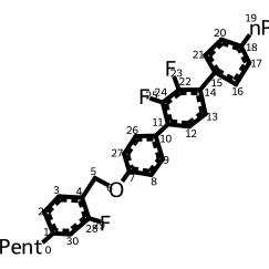 CCCCCc1ccc(COc2ccc(-c3ccc(-c4ccc(CCC)cc4)c(F)c3F)cc2)c(F)c1